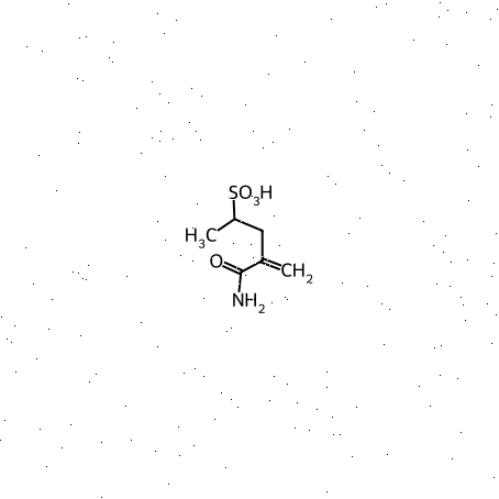 C=C(CC(C)S(=O)(=O)O)C(N)=O